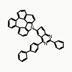 c1ccc(-c2ccc(-c3nc(-c4ccccc4)nc4ccc(-n5c6cccc7c6c6c8c(cccc8ccc65)-c5ccccc5-7)cc34)cc2)cc1